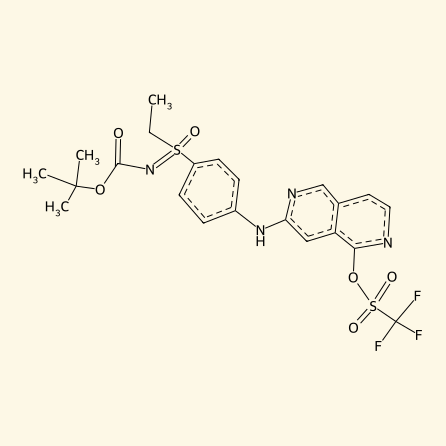 CCS(=O)(=NC(=O)OC(C)(C)C)c1ccc(Nc2cc3c(OS(=O)(=O)C(F)(F)F)nccc3cn2)cc1